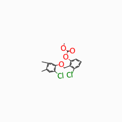 COC(=O)Oc1cccc(Cl)c1COc1cc(C)c(C)cc1Cl